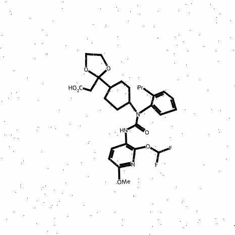 COc1ccc(NC(=O)N(c2ccccc2C(C)C)C2CCC(C3(CC(=O)O)OCCO3)CC2)c(OC(F)F)n1